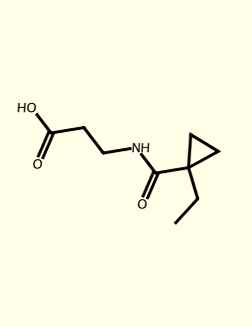 CCC1(C(=O)NCCC(=O)O)CC1